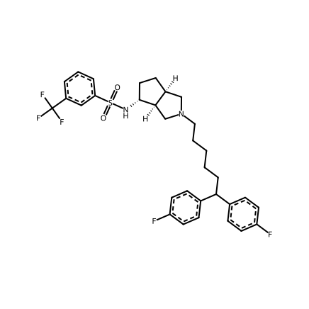 O=S(=O)(N[C@@H]1CC[C@H]2CN(CCCCCC(c3ccc(F)cc3)c3ccc(F)cc3)C[C@H]21)c1cccc(C(F)(F)F)c1